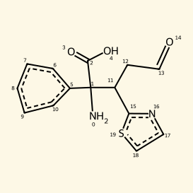 NC(C(=O)O)(c1ccccc1)C(CC=O)c1nccs1